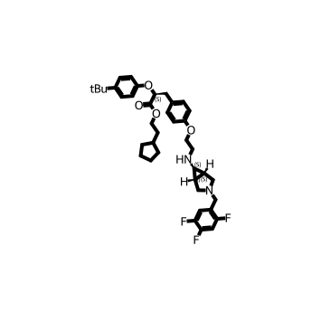 CC(C)(C)c1ccc(O[C@@H](Cc2ccc(OCCN[C@H]3[C@@H]4CN(Cc5cc(F)c(F)cc5F)C[C@@H]43)cc2)C(=O)OCCC2CCCC2)cc1